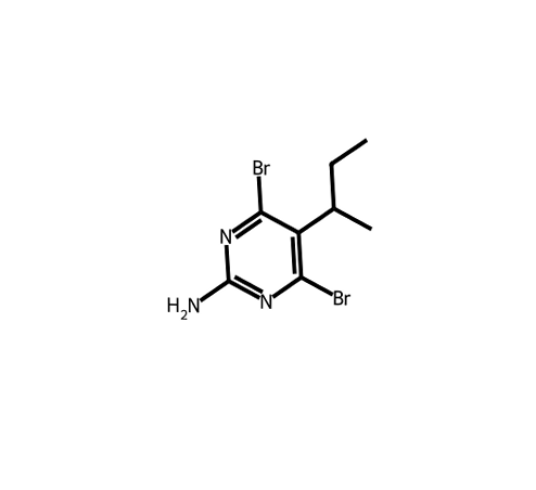 CCC(C)c1c(Br)nc(N)nc1Br